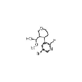 CCOC(O)C1COCCC1c1cc(Br)cnc1F